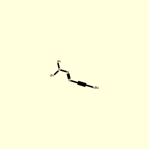 CCCCC#C/N=N/N(C(C)C)C(C)C